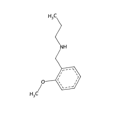 CCCNCc1ccccc1OC